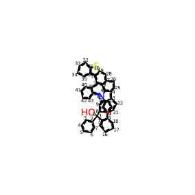 OC(c1ccccc1)(c1ccccc1)c1ccccc1-c1ccc2c3ccc4cc5sc6ccccc6c5c5c6ccccc6n(c2c1)c3c45